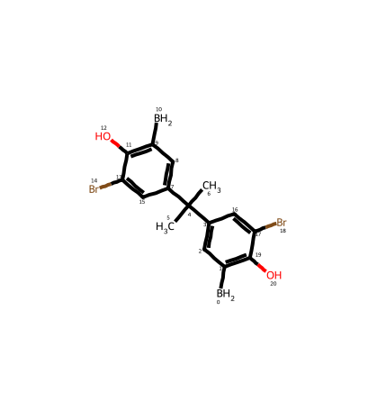 Bc1cc(C(C)(C)c2cc(B)c(O)c(Br)c2)cc(Br)c1O